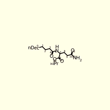 CCCCCCCCCCCCCC(=O)NC(CCC(N)=O)C(=O)OC(C)C